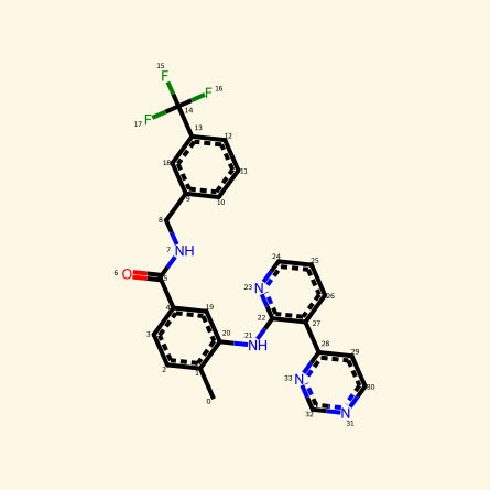 Cc1ccc(C(=O)NCc2cccc(C(F)(F)F)c2)cc1Nc1ncccc1-c1ccncn1